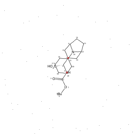 CC(C)(C)OC(=O)N[C@H](C(=O)O)C1CC2CCC(C1)N2C1CCCCC1